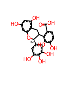 O=C(O)c1ccc(O)c(O)c1C1Cc2c(O)cc(O)cc2O[C@@H]1c1cc(O)c(O)c(O)c1